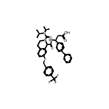 CC(C)N(C(=O)N1CCc2ccc(OCc3ccc(C(F)(F)F)cc3)cc2C1C(=O)NC(CC(=O)O)c1ccc(-c2ccccc2)cc1)C(C)C